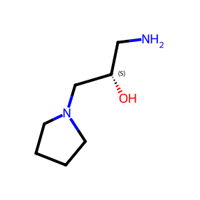 NC[C@H](O)CN1CCCC1